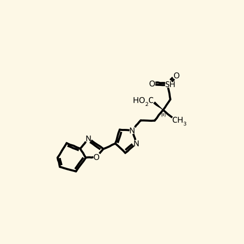 C[C@](CCn1cc(-c2nc3ccccc3o2)cn1)(C[SH](=O)=O)C(=O)O